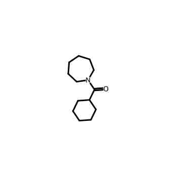 O=C(C1CCCCC1)N1CCCCCC1